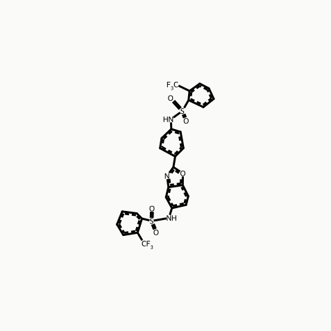 O=S(=O)(Nc1ccc(-c2nc3cc(NS(=O)(=O)c4ccccc4C(F)(F)F)ccc3o2)cc1)c1ccccc1C(F)(F)F